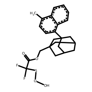 Cc1ccc(C23CC4CC(CC(COC(=O)C(F)(F)SOO)(C4)C2)C3)c2ccccc12